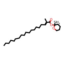 CCCCCCCCCCCCCCCCC=C(C)C(=O)OC1([SiH3])CCCCO1